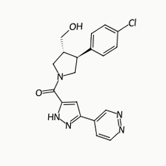 O=C(c1cc(-c2ccnnc2)n[nH]1)N1C[C@H](CO)[C@@H](c2ccc(Cl)cc2)C1